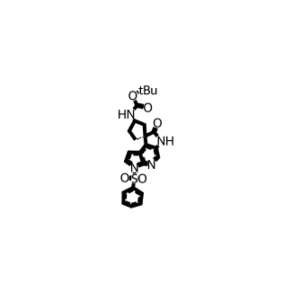 CC(C)(C)OC(=O)N[C@@H]1CC[C@]2(C1)C(=O)Nc1cnc3c(ccn3S(=O)(=O)c3ccccc3)c12